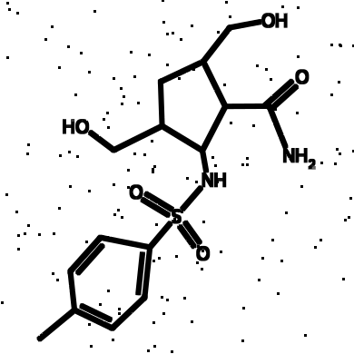 Cc1ccc(S(=O)(=O)NC2C(CO)CC(CO)C2C(N)=O)cc1